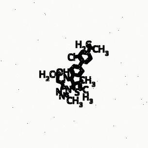 C=C(O)CC1N=C(c2ccc(-c3ccc(C(=C)C)cc3Cl)cc2)c2c(sc(C)c2C)-n2c(C)nnc21